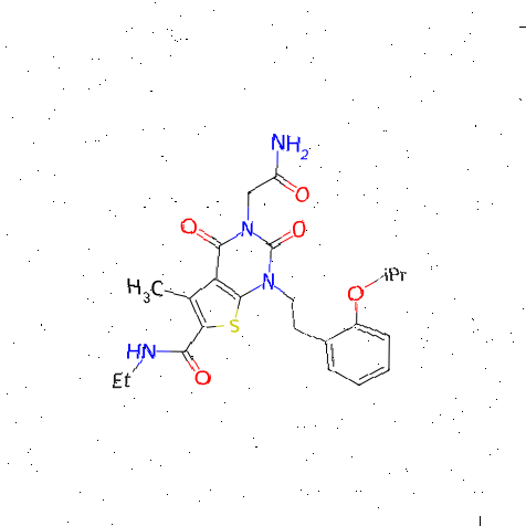 CCNC(=O)c1sc2c(c1C)c(=O)n(CC(N)=O)c(=O)n2CCc1ccccc1OC(C)C